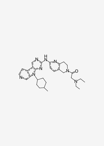 CCN(CC)CC(=O)N1CCc2nc(Nc3ncc4c5ccncc5n(C5CCC(C)CC5)c4n3)ccc2C1